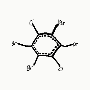 Clc1c(Br)c(Br)c(Cl)c(Br)c1Br